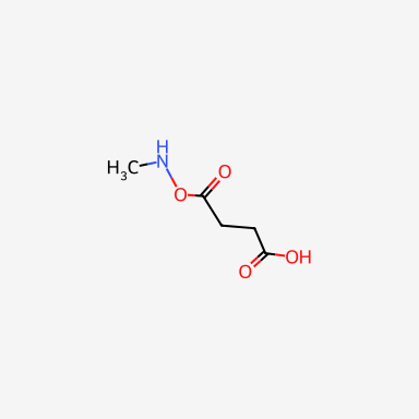 CNOC(=O)CCC(=O)O